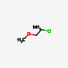 [CH2]OCCCl.[InH3]